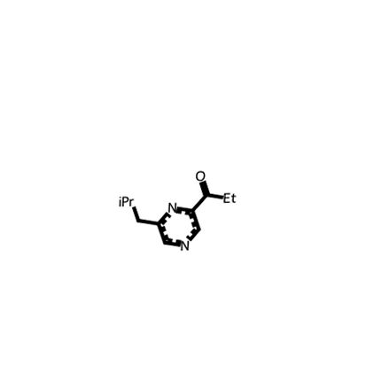 CCC(=O)c1cncc(CC(C)C)n1